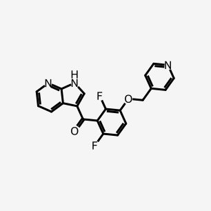 O=C(c1c(F)ccc(OCc2ccncc2)c1F)c1c[nH]c2ncccc12